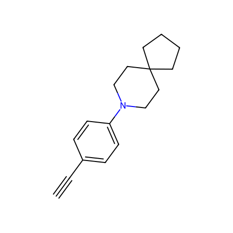 C#Cc1ccc(N2CCC3(CCCC3)CC2)cc1